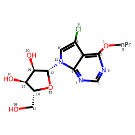 CCCOc1ncnc2c1c(Cl)cn2[C@@H]1O[C@H](CO)[C@@H](O)[C@H]1O